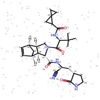 CC(C)(C)[C@H](NC(=O)C1CC12CC2)C(=O)N1C[C@H]2[C@@H]([C@H]1C(=O)N[C@H](C#N)C[C@@H]1CCNC1=O)[C@H]1C=C[C@@H]2C1